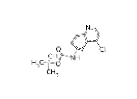 CC(C)(C)OC(=O)Nc1ccc2nccc(Cl)c2c1